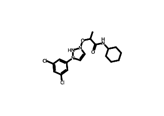 CC(ON1C=CN(c2cc(Cl)cc(Cl)c2)N1)C(=O)NC1CCCCC1